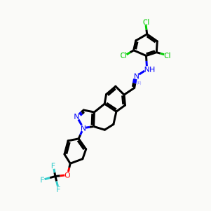 FC(F)(F)OC1C=CC(n2ncc3c2CCc2cc(/C=N/Nc4c(Cl)cc(Cl)cc4Cl)ccc2-3)=CC1